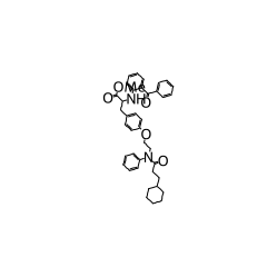 COC(=O)C(Cc1ccc(OCCN(C(=O)CCC2CCCCC2)c2ccccc2)cc1)Nc1ccccc1C(=O)c1ccccc1